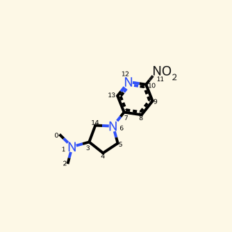 CN(C)C1CCN(c2ccc([N+](=O)[O-])nc2)C1